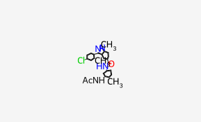 CC(=O)Nc1cc(NC(=O)c2ccc3c(c2)c(-c2ccc(Cl)cc2C)nn3C)ccc1C